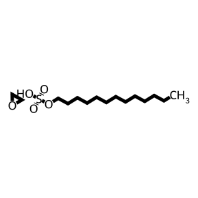 C1CO1.CCCCCCCCCCCCCOS(=O)(=O)O